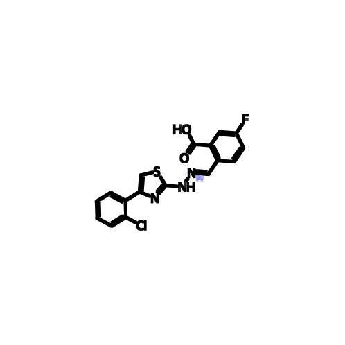 O=C(O)c1cc(F)ccc1/C=N/Nc1nc(-c2ccccc2Cl)cs1